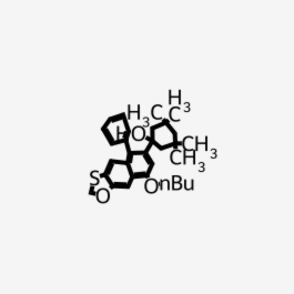 CCCCOc1cc(C2(O)CC(C)(C)CC(C)(C)C2)c(-c2ccccc2)c2cc3c(cc12)OCS3